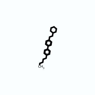 CCCCCc1ccc(-c2ccc(CCC3CC[CH]CC3)cc2)cc1